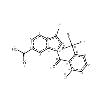 O=C(O)c1ccc2c(I)cn(C(=O)c3c(Cl)cccc3C(F)(F)F)c2c1